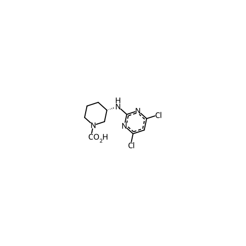 O=C(O)N1CCC[C@H](Nc2nc(Cl)cc(Cl)n2)C1